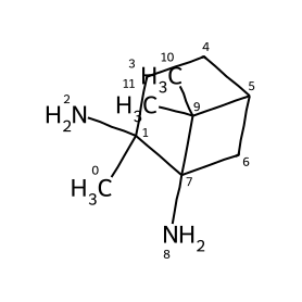 CC1(N)CCC2CC1(N)C2(C)C